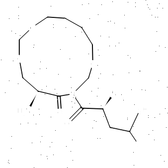 CC(C)C[C@H](N)C(=O)N1CCCCCCCCCC[C@H](N)C1=O